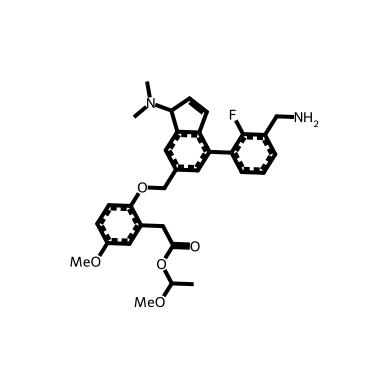 COc1ccc(OCc2cc(-c3cccc(CN)c3F)c3c(c2)C(N(C)C)C=C3)c(CC(=O)OC(C)OC)c1